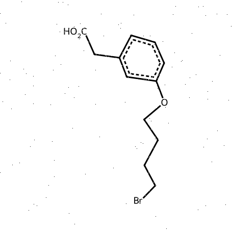 O=C(O)Cc1cccc(OCCCCBr)c1